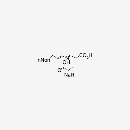 CCC(=O)O.CCCCCCCCCCC=CN=CCC(=O)O.[NaH]